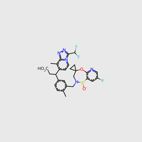 Cc1ccc(C(CC(=O)O)c2ccn3c(C(F)F)nnc3c2C)cc1CN1CC2(CC2)Oc2ncc(F)cc2[S+]1[O-]